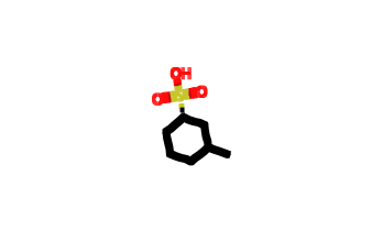 CC1CCC[C@H](S(=O)(=O)O)C1